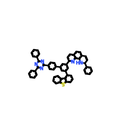 C1=CC(c2ccccc2)Nc2c1ccc1ccc(-c3cc(-c4ccc(-c5nc(-c6ccccc6)nc(-c6ccccc6)n5)cc4)cc(-c4cccc5sc6ccccc6c45)c3)nc21